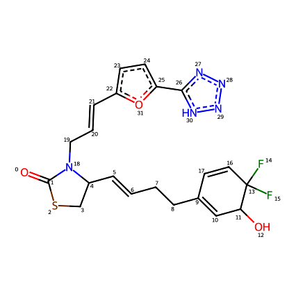 O=C1SCC(C=CCCC2=CC(O)C(F)(F)C=C2)N1CC=Cc1ccc(-c2nnn[nH]2)o1